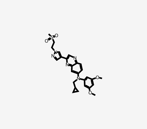 COc1cc(OC)cc(N(CC2CC2)c2ccc3ncc(-c4cnn(CCS(C)(=O)=O)c4)nc3c2)c1